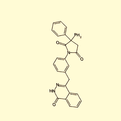 O=C1CC(P)(c2ccccc2)C(=O)N1c1cccc(Cc2n[nH]c(=O)c3ccccc23)c1